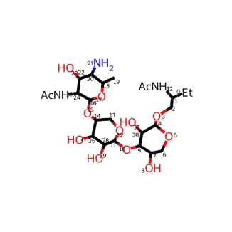 CCC(COC1OCC(O)C(OC2OCC(OC3OC(C)C(N)C(O)C3NC(C)=O)C(O)C2O)C1O)NC(C)=O